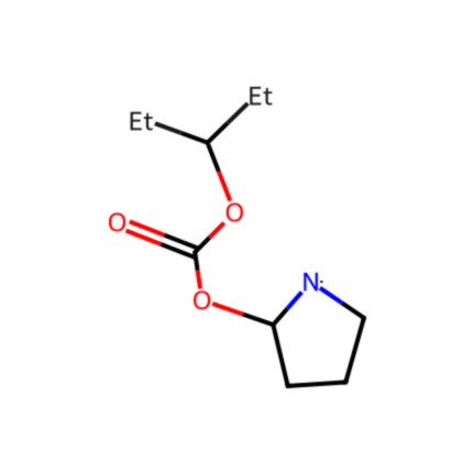 CCC(CC)OC(=O)OC1CCC[N]1